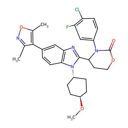 CO[C@H]1CC[C@H](n2c(C3CCOC(=O)N3c3ccc(Cl)c(F)c3)nc3cc(-c4c(C)noc4C)ccc32)CC1